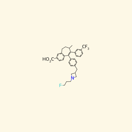 CC1CCc2cc(C(=O)O)ccc2C(c2ccc(CC3CN(CCCF)C3)cc2)=C1c1cccc(C(F)(F)F)c1